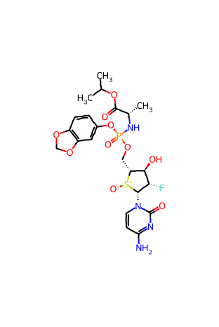 CC(C)OC(=O)[C@H](C)NP(=O)(OC[C@@H]1[C@@H](O)[C@H](F)[C@H](n2ccc(N)nc2=O)[S+]1[O-])Oc1ccc2c(c1)OCO2